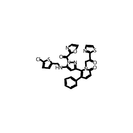 O=C(Cn1c(-c2cc(NCc3ccc(Cl)s3)n(C(=O)c3ncco3)n2)c(-c2ccccc2)ccc1=O)c1nccs1